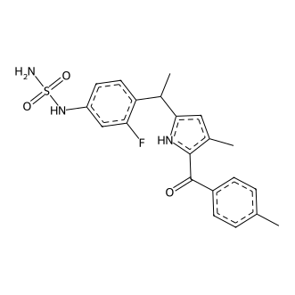 Cc1ccc(C(=O)c2[nH]c(C(C)c3ccc(NS(N)(=O)=O)cc3F)cc2C)cc1